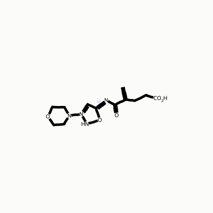 C=C(CCC(=O)O)C(=O)/N=c1/c[n+](N2CCOCC2)[nH]o1